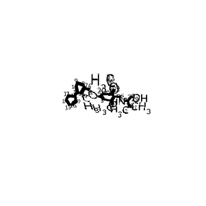 COc1cc(OCc2cccc(-c3ccccc3)c2C)cc(OC)c1CNC(CO)C(C)C